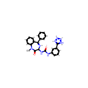 CCN1C(=O)C(NC(=O)Nc2cccc(-c3nnn[nH]3)c2)N=C(c2ccccc2)c2ccccc21